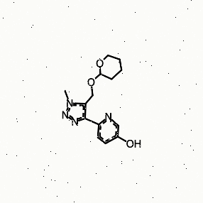 Cn1nnc(-c2ccc(O)cn2)c1COC1CCCCO1